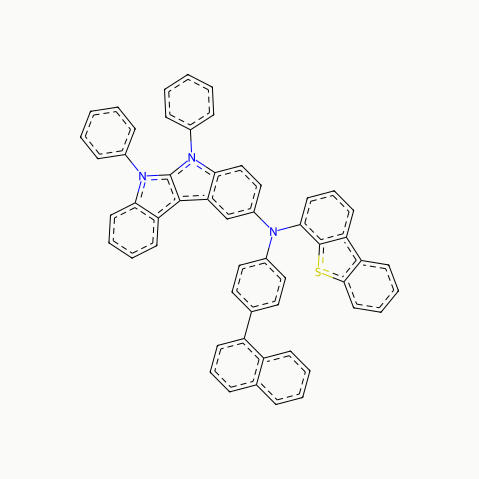 c1ccc(-n2c3ccccc3c3c4cc(N(c5ccc(-c6cccc7ccccc67)cc5)c5cccc6c5sc5ccccc56)ccc4n(-c4ccccc4)c32)cc1